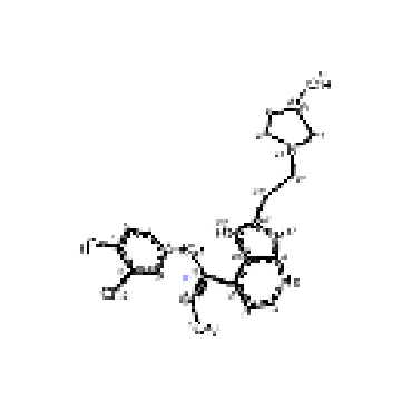 O/N=C(/Nc1ccc(F)c(Cl)c1)c1ccnc2nc(CCN3CC[C@@H](O)C3)[nH]c12